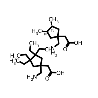 CCC1(CC)CC(CN)(CC(=O)O)CC1(CC)CC.C[C@@H]1CC(CN)(CC(=O)O)C[C@@H]1C